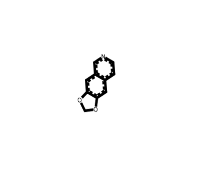 c1cc2cc3c(cc2cn1)OCO3